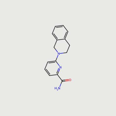 NC(=O)c1cccc(N2CCc3ccccc3C2)n1